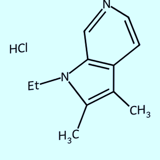 CCn1c(C)c(C)c2ccncc21.Cl